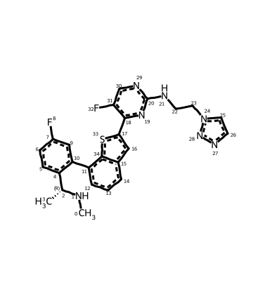 CN[C@H](C)c1ccc(F)cc1-c1cccc2cc(-c3nc(NCCn4ccnn4)ncc3F)sc12